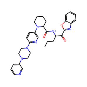 CCCC(NC(=O)C1CCCCN1c1ccc(N2CCN(c3cccnc3)CC2)nc1)C(=O)c1nc2ccccc2o1